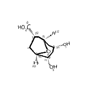 O=C(O)[C@H]1C[C@H]2O[C@@H]1[C@H](O)[C@@H]2O